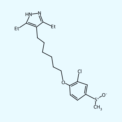 CCc1n[nH]c(CC)c1CCCCCCOc1ccc([S+](C)[O-])cc1Cl